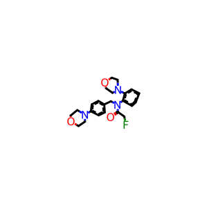 O=C(CF)N(Cc1ccc(N2CCOCC2)cc1)c1ccccc1N1CCOCC1